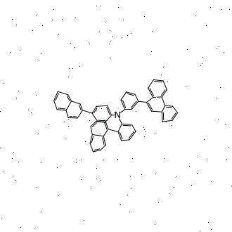 c1cc(-c2cc3ccccc3c3ccccc23)cc(N(c2ccc(-c3ccc4ccccc4c3)cc2)c2ccccc2-c2cccc3ccccc23)c1